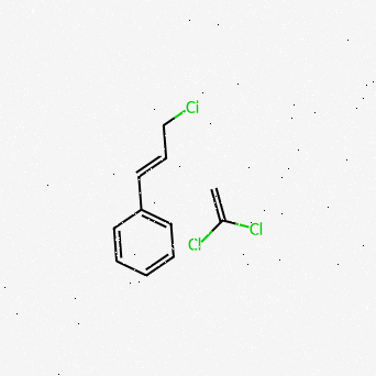 C=C(Cl)Cl.ClCC=Cc1ccccc1